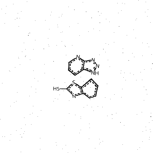 Sc1nc2ccccc2s1.c1cnc2nn[nH]c2c1